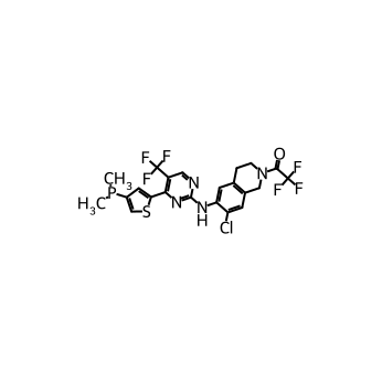 CP(C)c1csc(-c2nc(Nc3cc4c(cc3Cl)CN(C(=O)C(F)(F)F)CC4)ncc2C(F)(F)F)c1